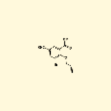 C=CCOc1c(Br)cc(C=O)cc1C(=O)OC